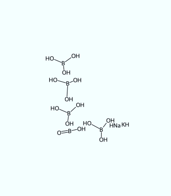 O=BO.OB(O)O.OB(O)O.OB(O)O.OB(O)O.[KH].[NaH]